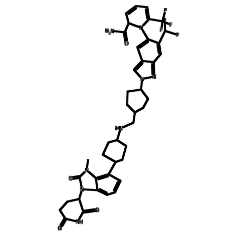 Cn1c(=O)n(C2CCC(=O)NC2=O)c2cccc(C3CCC(NCC4CCC(n5cc6cc(N7C(C(F)(F)F)=CC=CC7C(N)=O)c(C(F)F)cc6n5)CC4)CC3)c21